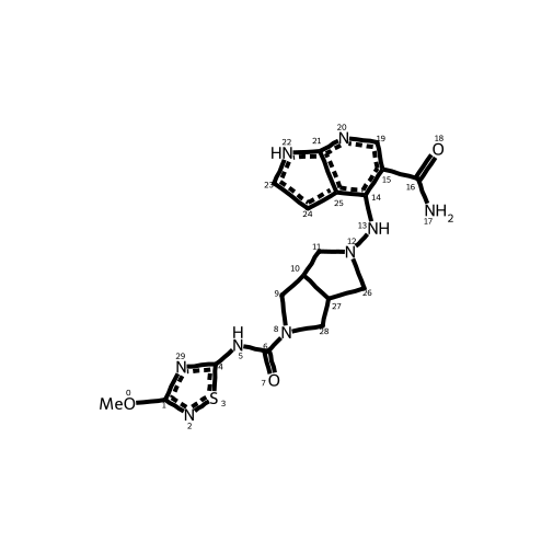 COc1nsc(NC(=O)N2CC3CN(Nc4c(C(N)=O)cnc5[nH]ccc45)CC3C2)n1